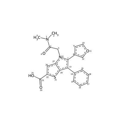 CN(C)C(=O)Cn1c(-c2ccoc2)c(-c2ccccc2)c2sc(C(=O)O)cc21